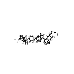 COc1cc2c(-c3cnn4cc(N5CCC(N6C[C@@H]7C[C@H]6CN7C)CC5)cnc34)ccnc2cc1F